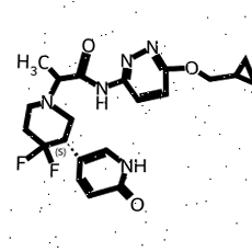 CC(C(=O)Nc1ccc(OCC2CC2)nn1)N1CCC(F)(F)[C@@H](c2ccc(=O)[nH]c2)C1